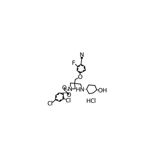 Cl.N#Cc1ccc(OCC2(CN[C@H]3CC[C@H](O)CC3)CN(S(=O)(=O)c3ccc(Cl)cc3Cl)C2)cc1F